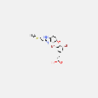 CSCCc1nc2cc(Oc3c(Br)cc(CCC(=O)O)cc3Br)ccc2[nH]1